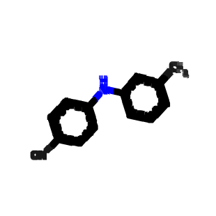 O=Nc1ccc(Nc2cccc(C(F)(F)F)c2)cc1